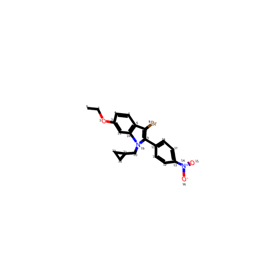 CCOc1ccc2c(Br)c(-c3ccc([N+](=O)[O-])cc3)n(CC3CC3)c2c1